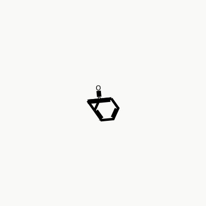 O=P12C3=[C]C=CC1=C32